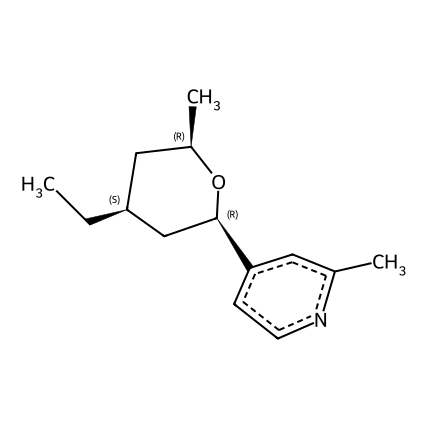 CC[C@H]1C[C@@H](C)O[C@@H](c2ccnc(C)c2)C1